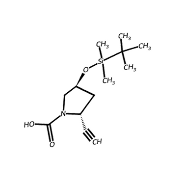 C#C[C@H]1C[C@H](O[Si](C)(C)C(C)(C)C)CN1C(=O)O